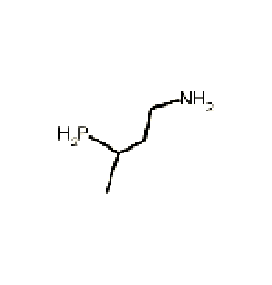 CC(P)CCN